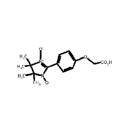 CC1(C)N([O])C(c2ccc(OCC(=O)O)cc2)=[N+]([O-])C1(C)C